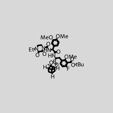 CCN1CCN(C(=O)NC(C(=O)NC(Cc2ccc(F)c(C(=O)OC(C)(C)C)c2OC)B2O[C@@H]3C[C@@H]4C[C@@H](C4(C)C)[C@]3(C)O2)c2ccc(OC)c(OC)c2)C(=O)C1=O